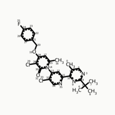 Cc1cnc(C(C)(C)C)nc1-c1cc(-n2c(C)cc(OCc3ccc(F)cc3)c(Cl)c2=O)c(Cl)cn1